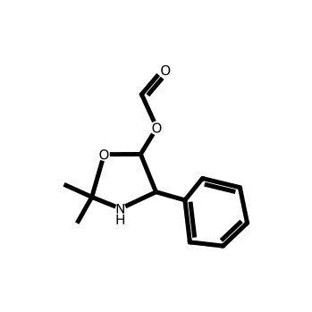 CC1(C)NC(c2ccccc2)C(OC=O)O1